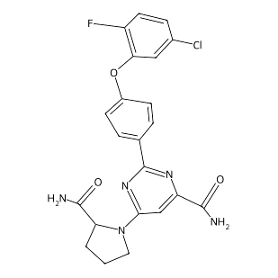 NC(=O)c1cc(N2CCCC2C(N)=O)nc(-c2ccc(Oc3cc(Cl)ccc3F)cc2)n1